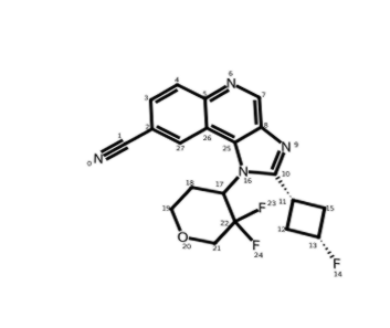 N#Cc1ccc2ncc3nc([C@H]4C[C@@H](F)C4)n(C4CCOCC4(F)F)c3c2c1